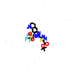 CN1CCCc2cc(N=Nc3nnc(C(=O)OC(C)(C)C)s3)c(NS(=O)(=O)C(F)(F)F)cc21